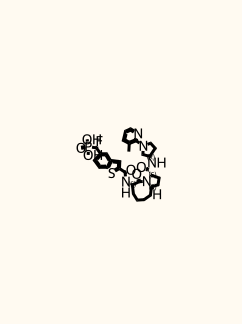 Cc1cccnc1N1CC[C@@H](NC(=O)[C@@H]2CC[C@@H]3CCCC[C@H](NC(=O)c4cc5cc(C(F)P(=O)(O)O)ccc5s4)C(=O)N32)C1